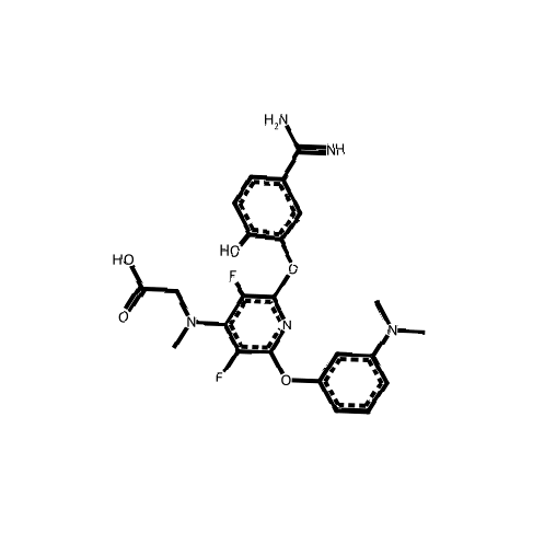 CN(C)c1cccc(Oc2nc(Oc3cc(C(=N)N)ccc3O)c(F)c(N(C)CC(=O)O)c2F)c1